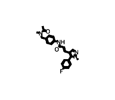 CC(=O)N(C)Cc1ccc(NC(=O)C=Cc2cnn(C)c2-c2ccc(F)cc2)cc1